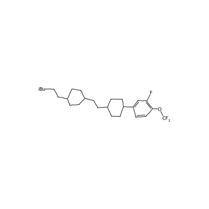 CCC(C)CCC1CCC(CCC2CCC(c3ccc(OC(F)(F)F)c(F)c3)CC2)CC1